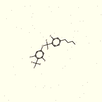 CCCCc1ccc(C(F)(F)Oc2cc(F)c(C(F)(F)F)c(F)c2)c(F)c1